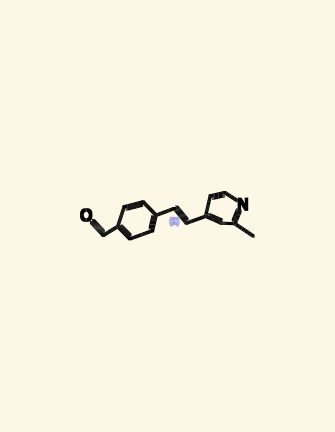 Cc1cc(/C=C/c2ccc(C=O)cc2)ccn1